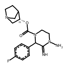 N=C1C(c2ccc(F)cc2)N(C(=O)O[C@@H]2CN3CCC2C3)CCN1N